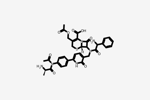 CC(=O)OCC1=C(C(=O)O)N2C(=O)C(N(Cc3ccc(-c4ccc(N(C(C)=O)C(=O)[C@@H](C)N)cc4)[nH]c3=O)C(=O)C(N)c3ccccc3)[C@@H]2SC1